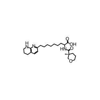 C[C@@]1(C(=O)NC(CCCCCCCc2ccc3c(n2)NCCC3)C(=O)O)CCCOC1